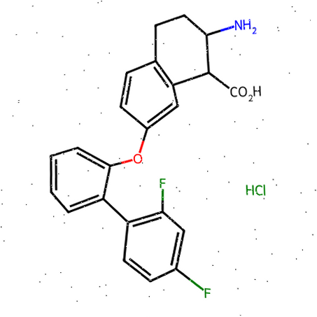 Cl.NC1CCc2ccc(Oc3ccccc3-c3ccc(F)cc3F)cc2C1C(=O)O